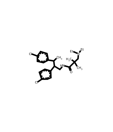 CCN(CC)CC(C)(C)C(=O)NCC(c1ccc(Cl)cc1)C(C)c1ccc(Cl)cc1